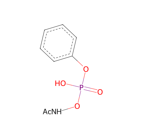 CC(=O)NOP(=O)(O)Oc1ccccc1